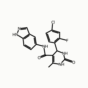 CC1=C(C(=O)Nc2ccc3[nH]ncc3c2)C(c2ccc(Cl)cc2F)NC(=O)N1